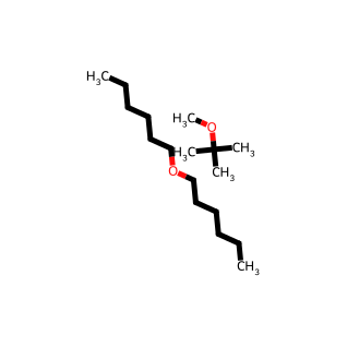 CCCCCCOCCCCCC.COC(C)(C)C